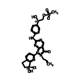 C=CCn1c(=O)c2cnc(Nc3ccc([C@@H](O)COS(C)(=O)=O)cc3)nc2n1-c1ccc2c(n1)[C@@](O)(CC)CC2